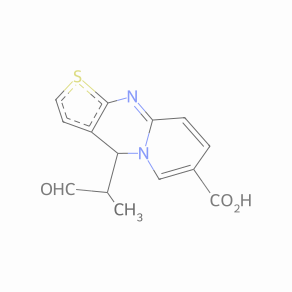 CC(C=O)C1c2ccsc2N=C2C=CC(C(=O)O)=CN21